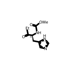 CCC(=O)[C@H](Cc1cnc[nH]1)NC(=O)OC